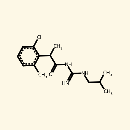 Cc1cccc(Cl)c1C(C)C(=O)NC(=N)NCC(C)C